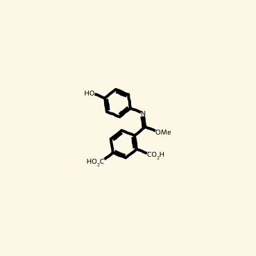 COC(=Nc1ccc(O)cc1)c1ccc(C(=O)O)cc1C(=O)O